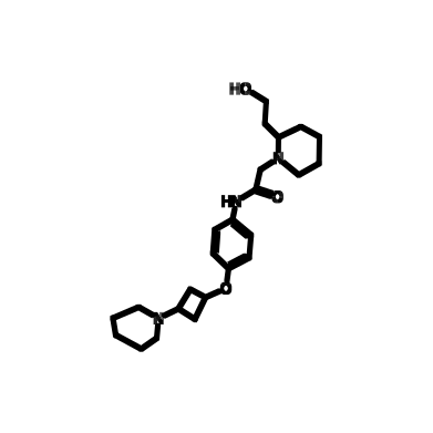 O=C(CN1CCCCC1CCO)Nc1ccc(OC2CC(N3CCCCC3)C2)cc1